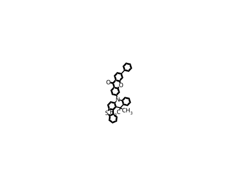 CC1(C)c2ccccc2N(c2ccc3c(=O)c4ccc(-c5ccccc5)cc4oc3c2)c2ccc3sc4ccccc4c3c21